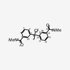 CNC(=O)c1cccc(C(C)(c2cccc(C(=O)NC)c2)C(F)(F)F)c1